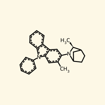 Cc1cc2c(cc1N1C3CCC(C3)[C@@H]1C)c1ccccc1n2-c1ccccc1